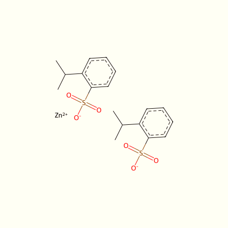 CC(C)c1ccccc1S(=O)(=O)[O-].CC(C)c1ccccc1S(=O)(=O)[O-].[Zn+2]